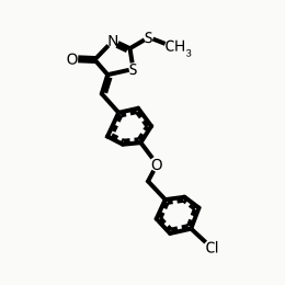 CSC1=NC(=O)C(=Cc2ccc(OCc3ccc(Cl)cc3)cc2)S1